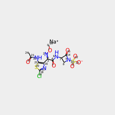 CON=C(C(=O)NC1CN(S(=O)(=O)[O-])C1=O)c1nc(Cl)sc1NC(C)=O.[Na+]